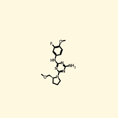 COC[C@@H]1CCCN1c1nc(N)nc(Nc2ccc(OC)c(F)c2)n1